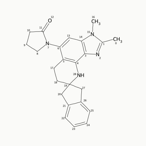 Cc1nc2c3c(c(N4CCCC4=O)cc2n1C)CCC1(Cc2ccccc2C1)N3